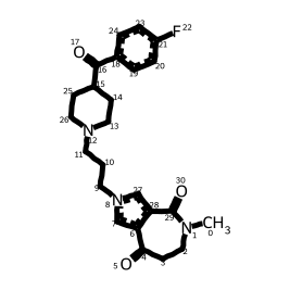 CN1CCC(=O)c2cn(CCCN3CCC(C(=O)c4ccc(F)cc4)CC3)cc2C1=O